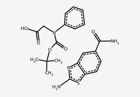 CC(C)(C)OC(=O)N(CC(=O)O)c1ccccc1.NC(=O)c1ccc2sc(N)nc2c1